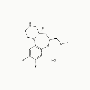 COC[C@@H]1C[C@@H]2CNCCN2c2cc(Cl)c(F)cc2O1.Cl